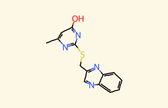 Cc1cc(O)nc(SCc2cnc3ccccc3n2)n1